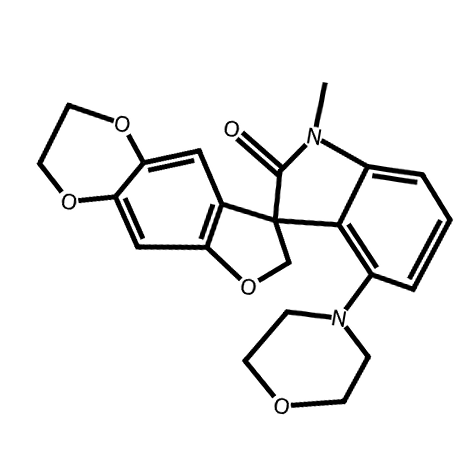 CN1C(=O)C2(COc3cc4c(cc32)OCCO4)c2c(N3CCOCC3)cccc21